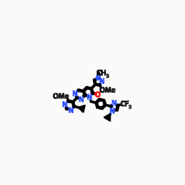 COc1nn(C)cc1-c1cc2cnc(-c3c(OC)ncnc3C3CC3)nc2n(Cc2ccc(-c3nc(C(F)(F)F)cn3C3CC3)cc2)c1=O